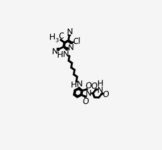 CCc1c(C#N)c(Cl)nc(NCCCCCCCCNc2cccc3c2C(=O)N(C2CCC(=O)NC2=O)C3=O)c1C#N